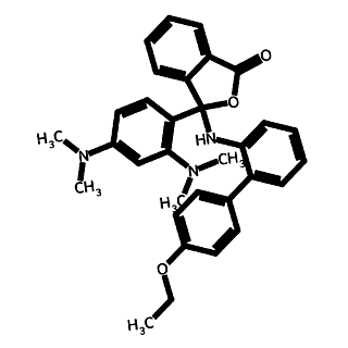 CCOc1ccc(-c2ccccc2NC2(c3ccc(N(C)C)cc3N(C)C)OC(=O)c3ccccc32)cc1